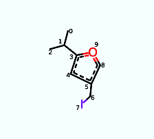 CC(C)c1cc(CI)co1